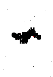 COc1ccc(CN2CCN(C3CC4(CCN(c5cc(Oc6cnc7[nH]ccc7c6)c(C(=O)NS(=O)(=O)c6ccc(NCC7(F)CCN(C8CC(=O)C8)CC7)c([N+](=O)[O-])c6)cc5F)CC4)C3)C(c3ccccc3C(C)C)C2)cc1